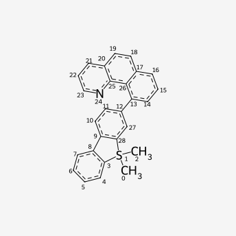 CS1(C)c2ccccc2-c2ccc(-c3cccc4ccc5cccnc5c34)cc21